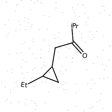 CCC1CC1CC(=O)C(C)C